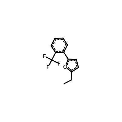 CCc1ccc(-c2ccccc2C(F)(F)F)o1